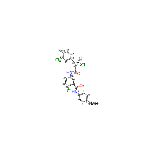 CNc1ccc(NC(=O)c2cc(NC(=O)C3C(c4ccc(F)c(Cl)c4)C3(Cl)Cl)ccc2Cl)cc1